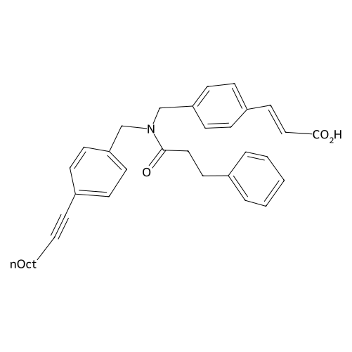 CCCCCCCCC#Cc1ccc(CN(Cc2ccc(C=CC(=O)O)cc2)C(=O)CCc2ccccc2)cc1